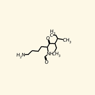 CCC(C)C(CC)C(=O)C(CCCCN)NC=O